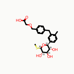 CS[C@H]1O[C@@H](c2ccc(C)c(Cc3ccc(COCC(=O)O)cc3)c2)[C@H](O)[C@@H](O)[C@@H]1O